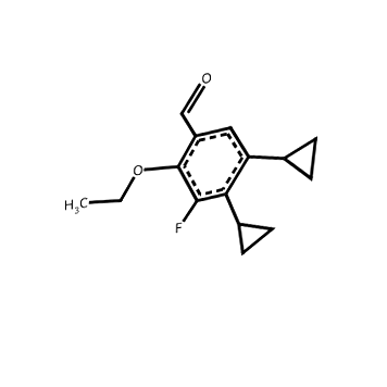 CCOc1c(C=O)cc(C2CC2)c(C2CC2)c1F